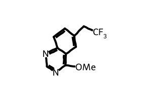 COc1ncnc2ccc(CC(F)(F)F)cc12